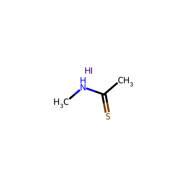 CNC(C)=S.I